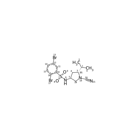 CC(C)[C@H]1CC(NS(=O)(=O)c2cc(Br)ccc2Br)CN1C#N